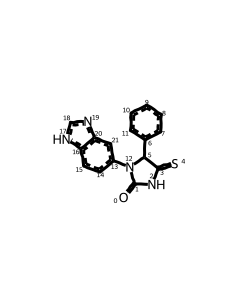 O=C1NC(=S)C(c2ccccc2)N1c1ccc2[nH]cnc2c1